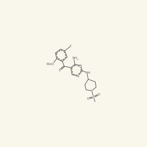 COc1ccc(F)cc1C(=S)c1cnc(NC2CCN(S(C)(=O)=O)CC2)nc1N